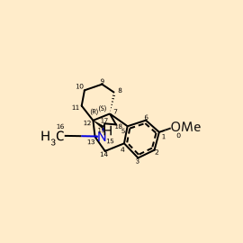 COc1ccc2c(c1)[C@]13CCCC[C@H]1C(C2)N(C)CC3